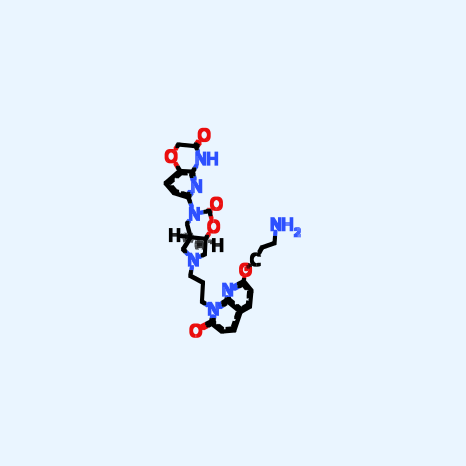 NCCCOc1ccc2ccc(=O)n(CCCN3C[C@@H]4CN(c5ccc6c(n5)NC(=O)CO6)C(=O)O[C@H]4C3)c2n1